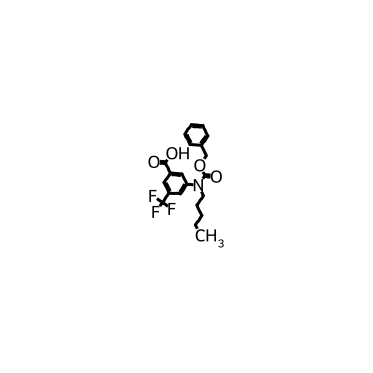 CCCCCN(C(=O)OCc1ccccc1)c1cc(C(=O)O)cc(C(F)(F)F)c1